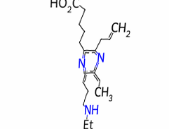 C=CCc1nc(=C/C)/c(=C\CCNCC)nc1CCCCC(=O)O